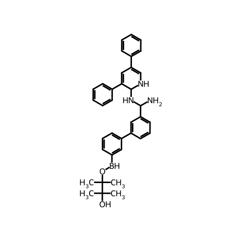 CC(C)(O)C(C)(C)OBc1cccc(-c2cccc(C(N)NC3NC=C(c4ccccc4)C=C3c3ccccc3)c2)c1